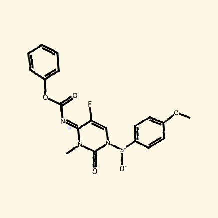 COc1ccc([S+]([O-])n2cc(F)/c(=N\C(=O)Oc3ccccc3)n(C)c2=O)cc1